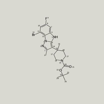 Cc1nn2c([nH]c3cc(F)cc(Br)c32)c1C1(C)CCN(C(=O)OC(C)(C)C)CC1